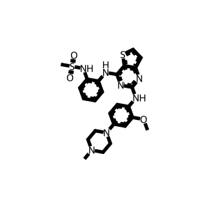 COc1cc(N2CCN(C)CC2)ccc1Nc1nc(Nc2ccccc2NS(C)(=O)=O)c2sccc2n1